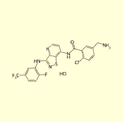 Cl.NCc1ccc(Cl)c(C(=O)Nc2ccnc3c(Nc4cc(C(F)(F)F)ccc4F)nsc23)c1